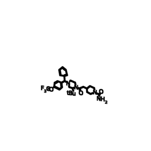 CC(C)(C)C1CN(C(c2ccccc2)c2ccc(OC(F)(F)F)cc2)CCN1C(=O)CC1CCN(C(N)=O)CC1